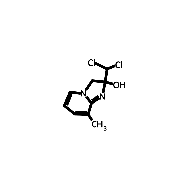 CC1=CC=CN2CC(O)(C(Cl)Cl)N=C12